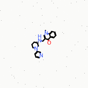 Cn1cc(CN[C@H]2CCCN(c3cccnc3)C2)c(=O)c2ccccc21